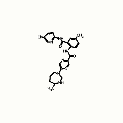 Cc1ccc(NC(=O)c2cnc(N3CCCC(C)NC3)cn2)c(C(=O)Nc2ccc(Cl)cn2)c1